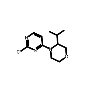 CC(C)C1COCCN1c1ccnc(Cl)n1